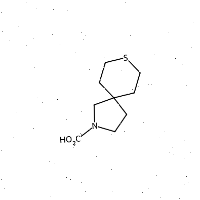 O=C(O)N1CCC2(CCSCC2)C1